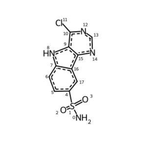 NS(=O)(=O)c1ccc2[nH]c3c(Cl)ncnc3c2c1